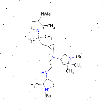 CNC1CCN(C(C)(C)CC2CC2N(CCNC2CCN(C(C)(C)C)C2C)C2CN(C(C)(C)C)C(C)(C)C2)[C@@H]1C